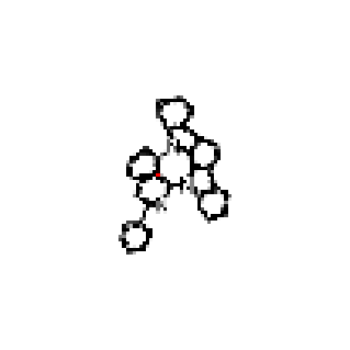 c1ccc(-c2cccc(-n3c4ccccc4c4ccc5c6ccccc6n(-c6ccccc6)c5c43)n2)cc1